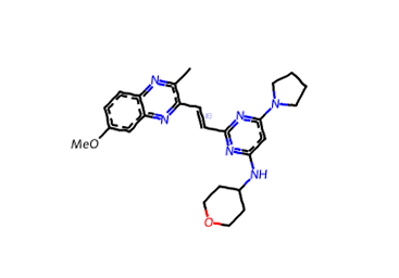 COc1ccc2nc(C)c(/C=C/c3nc(NC4CCOCC4)cc(N4CCCC4)n3)nc2c1